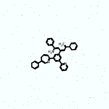 C=C(/C=C(\C=C(/N)c1ccccc1)c1cc(C2=NC=C(C3=CCCC=C3)CC=C2)cc(-c2ccccn2)c1)C1C=CC=CC1